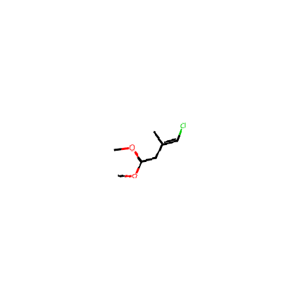 COC(C/C(C)=C/Cl)OC